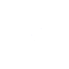 CC(CF)N1C(=O)c2ccccc2NS1(=O)=O